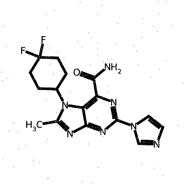 Cc1nc2nc(-n3ccnc3)nc(C(N)=O)c2n1C1CCC(F)(F)CC1